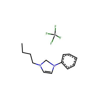 CCCCN1C=CN(c2ccccc2)C1.F[B-](F)(F)F